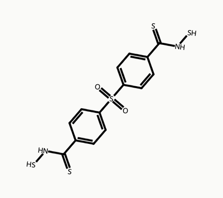 O=S(=O)(c1ccc(C(=S)NS)cc1)c1ccc(C(=S)NS)cc1